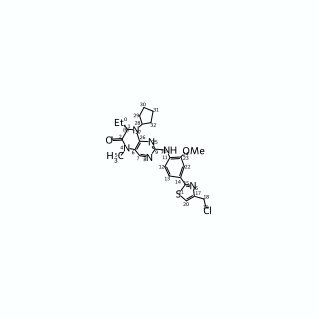 CC[C@@H]1C(=O)N(C)c2cnc(Nc3ccc(-c4nc(CCl)cs4)cc3OC)nc2N1C1CCCC1